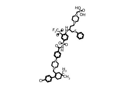 CC1(C)CCC(c2ccc(Cl)cc2)=C(CN2CCN(c3ccc(C(=O)NS(=O)(=O)c4ccc(NC(CCN5CCN(CP(=O)(O)O)CC5)CSc5ccccc5)c(S(=O)(=O)C(F)(F)F)c4)cc3)CC2)C1